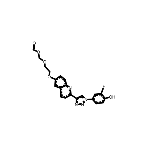 O=COCOCCOc1ccc2nc(-c3cn(-c4ccc(O)c(F)c4)nn3)ccc2c1